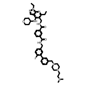 CCc1nc2c(cnn2CC)c(NC2CCOCC2)c1CNC(=O)c1cccc(C(=O)NCc2ccc(F)c(-c3cccc(CN4CCN(CCN(C)C)CC4)c3)c2)c1